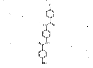 CC(C)(C)c1ccc(C(=O)Nc2ccc(NC(=O)c3ccc(F)cc3)cc2)cc1